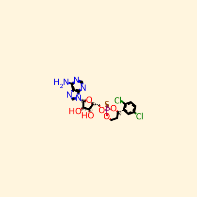 Nc1ncnc2c1ncn2[C@@H]1O[C@H](COP2(=S)OCC[C@@H](c3cc(Cl)ccc3Cl)O2)[C@@H](O)[C@H]1O